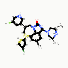 C[C@@H]1CN(c2nc(=O)n3c4c(cc(C(F)(F)F)cc24)[SH](c2cc(Cl)cs2)C[C@@H](c2cncc(F)c2)C3)C[C@H](C)N1